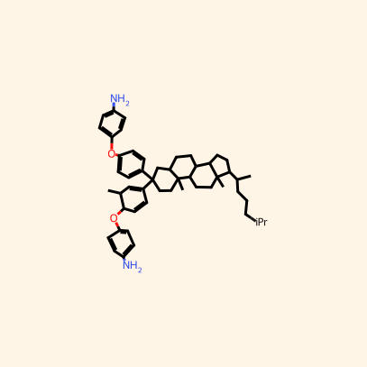 CC(C)CCCC(C)C1CCC2C3CCC4CC(C5=CC(C)C(Oc6ccc(N)cc6)C=C5)(c5ccc(Oc6ccc(N)cc6)cc5)CCC4(C)C3CCC12C